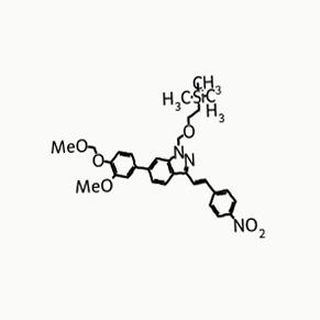 COCOc1ccc(-c2ccc3c(/C=C/c4ccc([N+](=O)[O-])cc4)nn(COCC[Si](C)(C)C)c3c2)cc1OC